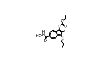 CCCOc1c2ccc(C(=O)NO)ccc-2c(OC(=O)OCC)c1C